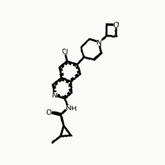 CC1CC1C(=O)Nc1cc2cc(C3CCN(C4COC4)CC3)c(Cl)cc2cn1